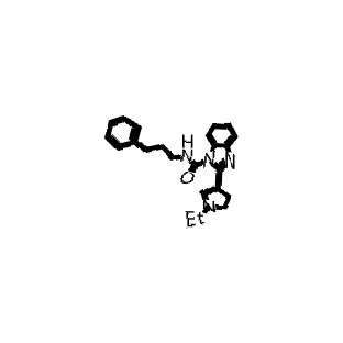 CCN1CCC(c2nc3ccccc3n2C(=O)NCCCc2ccccc2)C1